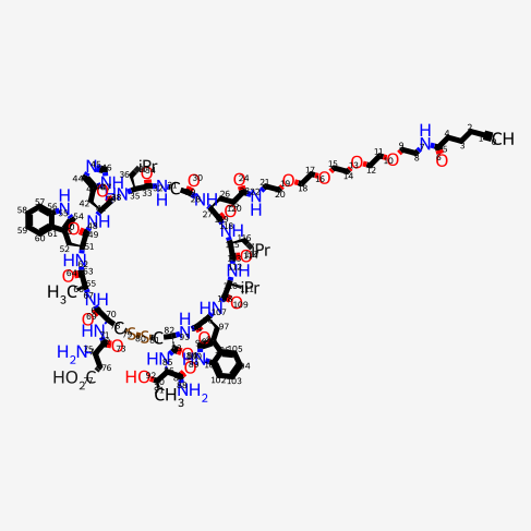 C#CCCCC(=O)NCCOCCOCCOCCOCCNC(=O)CC[C@@H]1NC(=O)CNC(=O)[C@H](CC(C)C)NC(=O)[C@H](Cc2cnc[nH]2)NC(=O)[C@H](Cc2c[nH]c3ccccc23)NC(=O)[C@H](C)NC(=O)[C@@H](NC(=O)[C@@H](N)CC(=O)O)CSSC[C@@H](C(=O)N[C@H](C(N)=O)[C@@H](C)O)NC(=O)[C@H](Cc2c[nH]c3ccccc23)NC(=O)[C@H](C(C)C)NC(=O)[C@H](CC(C)C)NC1=O